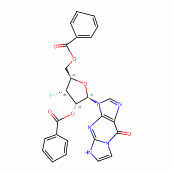 O=C(OC[C@H]1O[C@@H](n2cnc3c(=O)n4cc[nH]c4nc32)[C@H](OC(=O)c2ccccc2)[C@@H]1F)c1ccccc1